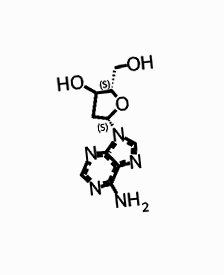 Nc1ncnc2c1ncn2[C@@H]1CC(O)[C@H](CO)O1